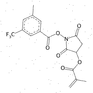 C=C(C)C(=O)OC1CC(=O)N(OC(=O)c2cc(C)cc(C(F)(F)F)c2)C1=O